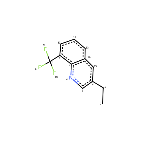 CCc1cnc2c(C(F)(F)F)cccc2c1